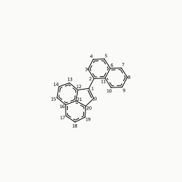 [C]1=C(c2cccc3ccccc23)c2cccc3cccc1c23